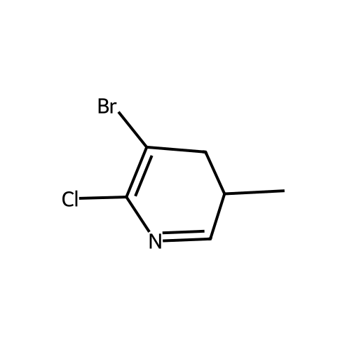 CC1C=NC(Cl)=C(Br)C1